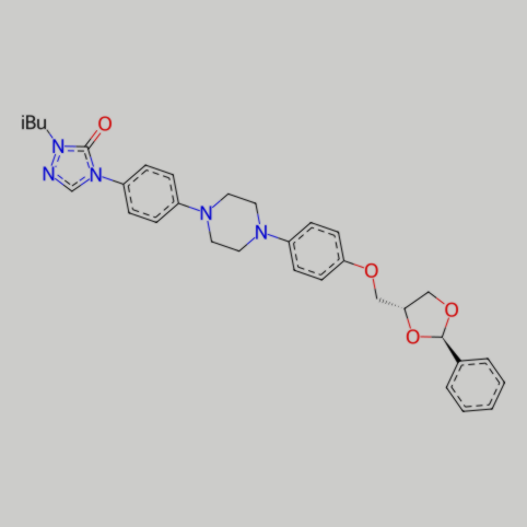 CCC(C)n1ncn(-c2ccc(N3CCN(c4ccc(OC[C@@H]5CO[C@@H](c6ccccc6)O5)cc4)CC3)cc2)c1=O